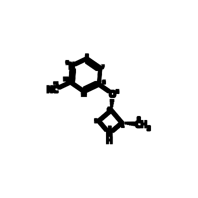 C[C@@H]1NC[C@@H]1Oc1ccnc(C#N)c1